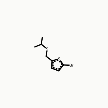 CC(C)SCc1ccc(Br)s1